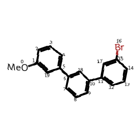 COc1cccc(-c2cccc(-c3cccc(Br)c3)c2)c1